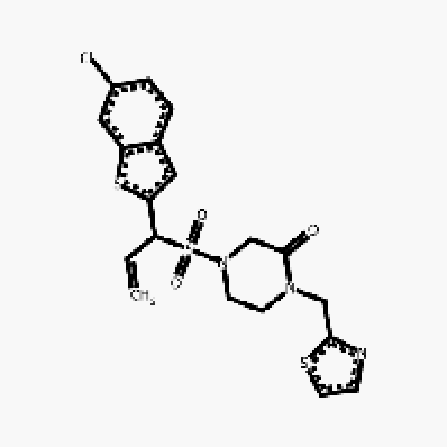 C=CC(c1cc2ccc(Cl)cc2s1)S(=O)(=O)N1CCN(Cc2nccs2)C(=O)C1